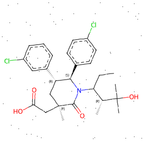 CCC([C@@H](C)C(C)(C)O)N1C(=O)[C@@](C)(CC(=O)O)C[C@H](c2cccc(Cl)c2)[C@H]1c1ccc(Cl)cc1